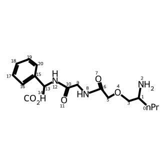 CCCC(N)COCC(=O)NCC(=O)NC(C(=O)O)c1ccccc1